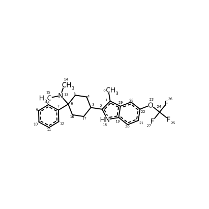 Cc1c(C2CCC(c3ccccc3)(N(C)C)CC2)[nH]c2ccc(OC(F)(F)F)cc12